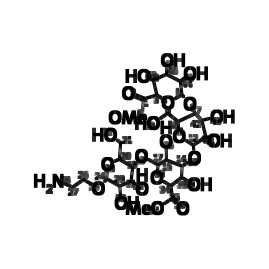 COC(=O)C1OC(OC2C(CO)OC(OC3C(O)C(OC4C(CO)OC(OCCN)C(O)C4O)OC(C(=O)OC)C3O)C(O)C2O)C(O)C(O)C1O